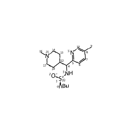 CCCC[S@@+]([O-])NC(c1ccc(C)cn1)C1CCN(C)CC1